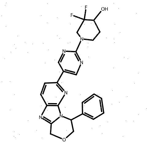 OC1CCN(c2ncc(-c3ccc4nc5n(c4n3)C(c3ccccc3)COC5)cn2)CC1(F)F